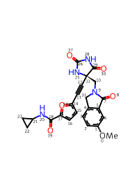 COc1ccc2c(c1)C(=O)N(C[C@@]1(C#Cc3ccc(C(=O)NC4CC4)o3)NC(=O)NC1=O)C2